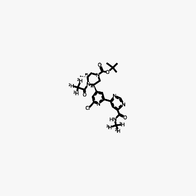 [2H]C([2H])([2H])NC(=O)c1cc(-c2cc([C@@H]3CN(C(=O)OC(C)(C)C)C[C@@H](C)N3C(=O)C([2H])([2H])[2H])cc(Cl)n2)ncn1